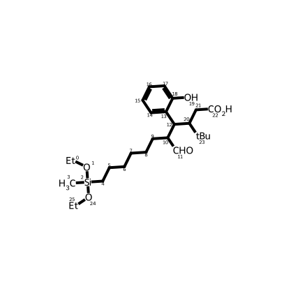 CCO[Si](C)(CCCCCCC(C=O)C(c1ccccc1O)C(CC(=O)O)C(C)(C)C)OCC